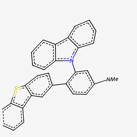 CNc1ccc(-c2ccc3sc4ccccc4c3c2)c(-n2c3ccccc3c3ccccc32)c1